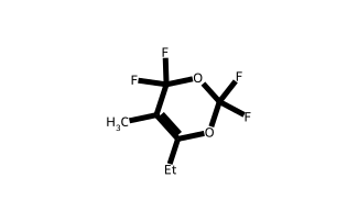 CCC1=C(C)C(F)(F)OC(F)(F)O1